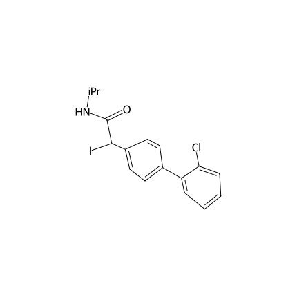 CC(C)NC(=O)C(I)c1ccc(-c2ccccc2Cl)cc1